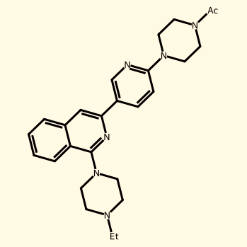 CCN1CCN(c2nc(-c3ccc(N4CCN(C(C)=O)CC4)nc3)cc3ccccc23)CC1